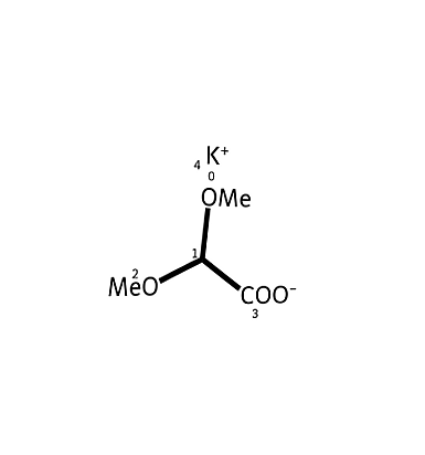 COC(OC)C(=O)[O-].[K+]